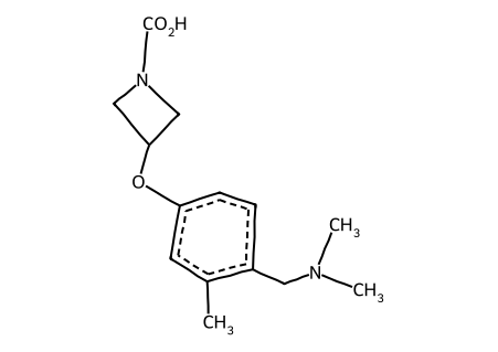 Cc1cc(OC2CN(C(=O)O)C2)ccc1CN(C)C